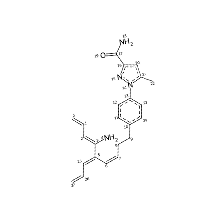 C=C/C=C(N)/C(/C=C\CCc1ccc(-n2nc(C(N)=O)cc2C)cc1)=C/C=C